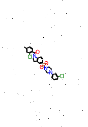 Cc1ccc(C(=O)N2CCc3cc(S(=O)(=O)N4CCN(c5cccc(Cl)c5)CC4)ccc32)c(Cl)c1